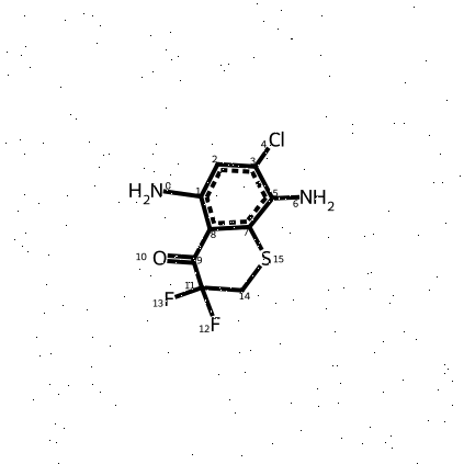 Nc1cc(Cl)c(N)c2c1C(=O)C(F)(F)CS2